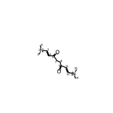 CN(C)C=CC(=O)CCC(=O)C=CN(C)C